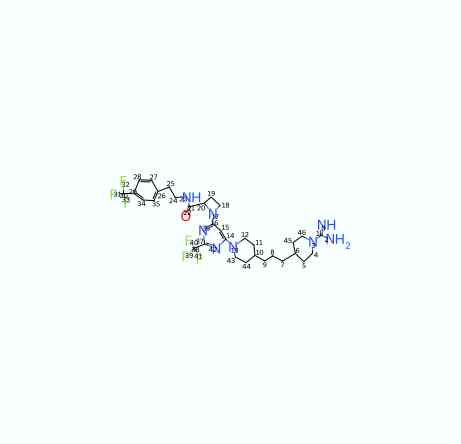 N=C(N)N1CCC(CCCC2CCN(c3cc(N4CCC4C(=O)NCCc4ccc(C(F)(F)F)cc4)nc(C(F)(F)F)n3)CC2)CC1